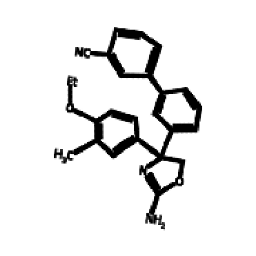 CCOc1ccc(C2(c3cccc(-c4cccc(C#N)c4)c3)COC(N)=N2)cc1C